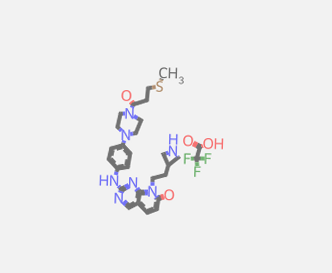 CSCCC(=O)N1CCN(c2ccc(Nc3ncc4ccc(=O)n(CCC5CNC5)c4n3)cc2)CC1.O=C(O)C(F)(F)F